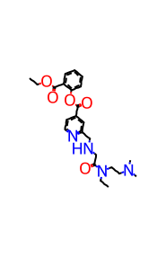 CCOC(=O)c1ccccc1OC(=O)c1ccnc(CNCC(=O)N(CC)CCN(C)C)c1